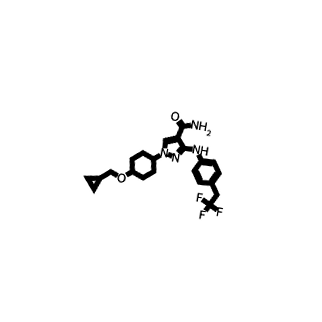 NC(=O)c1cn(C2CCC(OCC3CC3)CC2)nc1Nc1ccc(CC(F)(F)F)cc1